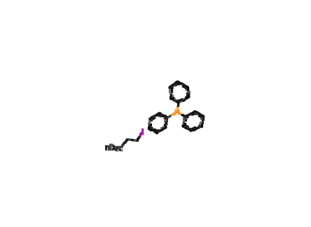 CCCCCCCCCCCCI.c1ccc(P(c2ccccc2)c2ccccc2)cc1